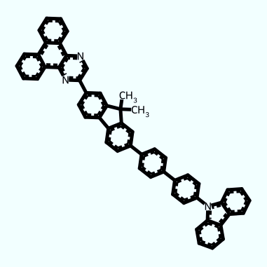 CC1(C)c2cc(-c3ccc(-c4ccc(-n5c6ccccc6c6ccccc65)cc4)cc3)ccc2-c2ccc(-c3cnc4c5ccccc5c5ccccc5c4n3)cc21